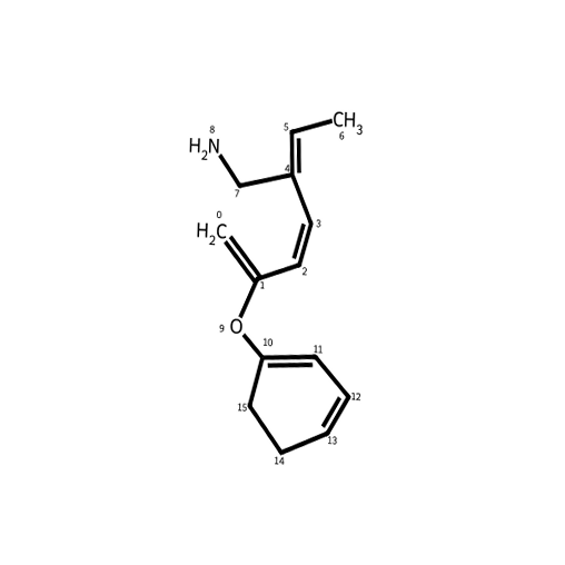 C=C(/C=C\C(=C/C)CN)OC1=CC=CCC1